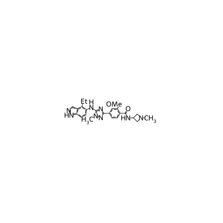 CCc1c(Nc2nc(-c3ccc(C(=O)NC4CN(C)C4)c(OC)c3)nn2C)ccc2[nH]ncc12